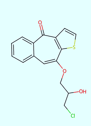 O=c1c2ccccc2cc(OCC(O)CCl)c2sccc12